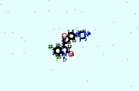 CN1CCN(c2ccc3c(c2)-c2sc(C(=O)N(C)c4ccc(F)cc4F)cc2CO3)CC1